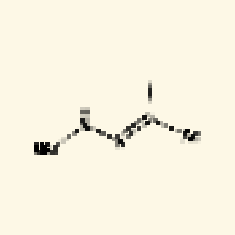 CC(=O)C(C)=NNC(C)(C)C